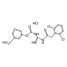 Cl.N=C(NC(=O)Cc1c(Cl)cccc1Cl)NC(=O)Oc1cccc(C(=O)O)c1